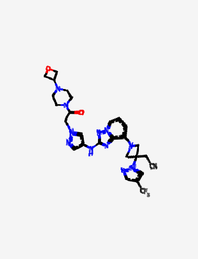 N#CCC1(n2cc(C(F)(F)F)cn2)CN(c2cccn3nc(Nc4cnn(CC(=O)N5CCN(C6COC6)CC5)c4)nc23)C1